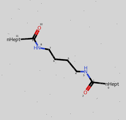 CCCCCCCC(=O)NCCCCNC(=O)CCCCCCC